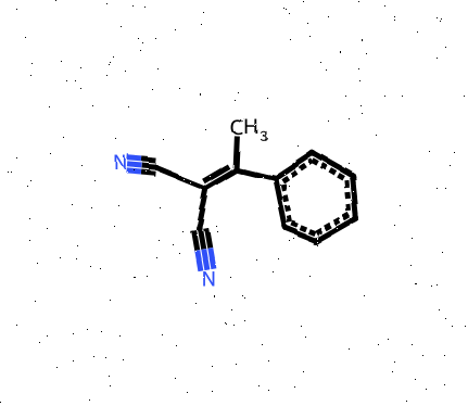 CC(=C(C#N)C#N)c1ccccc1